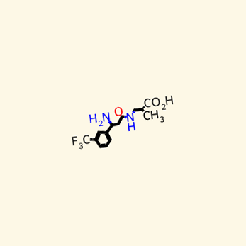 C[C@@H](CNC(=O)CC(N)c1cccc(C(F)(F)F)c1)C(=O)O